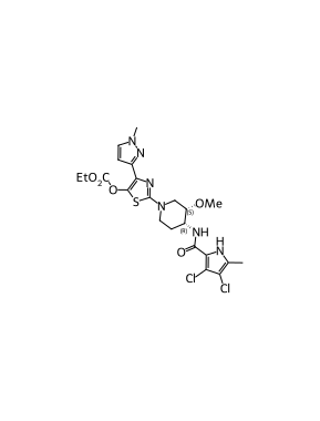 CCOC(=O)Oc1sc(N2CC[C@@H](NC(=O)c3[nH]c(C)c(Cl)c3Cl)[C@@H](OC)C2)nc1-c1ccn(C)n1